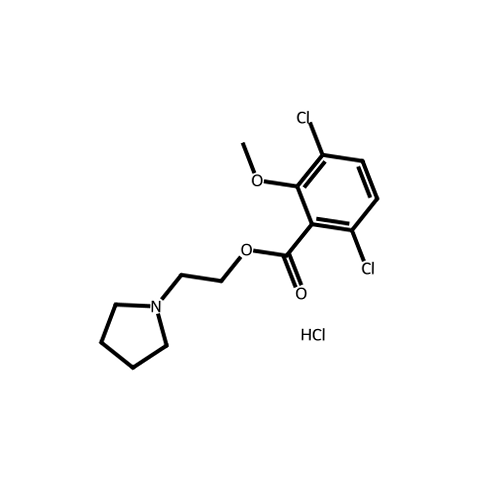 COc1c(Cl)ccc(Cl)c1C(=O)OCCN1CCCC1.Cl